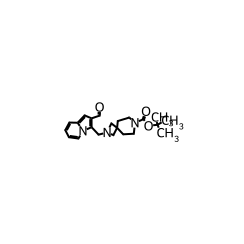 CC(C)(C)OC(=O)N1CCC2(CC1)CN(Cc1c(C=O)cc3ccccn13)C2